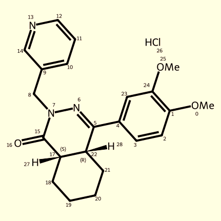 COc1ccc(C2=NN(Cc3cccnc3)C(=O)[C@H]3CCCC[C@@H]23)cc1OC.Cl